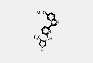 COc1ccc2ncc(-c3cccc(N[C@H]4CNC[C@@H]4C(F)(F)F)n3)n2c1